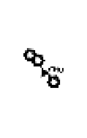 O=C[C@]1(c2ccccc2)C[C@H]1c1ccc2ccccc2c1